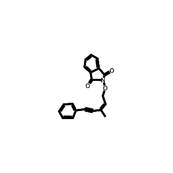 CC(C#Cc1ccccc1)=CCON1C(=O)c2ccccc2C1=O